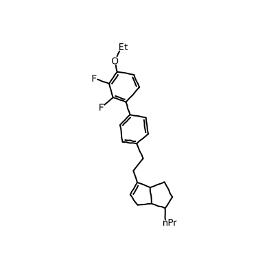 CCCC1CCC2C(CCc3ccc(-c4ccc(OCC)c(F)c4F)cc3)=CCC12